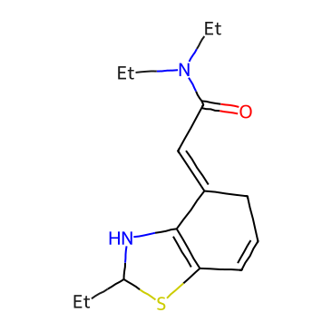 CCC1NC2=C(C=CCC2=CC(=O)N(CC)CC)S1